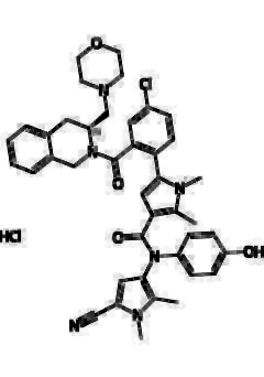 Cc1c(N(C(=O)c2cc(-c3ccc(Cl)cc3C(=O)N3Cc4ccccc4C[C@H]3CN3CCOCC3)n(C)c2C)c2ccc(O)cc2)cc(C#N)n1C.Cl